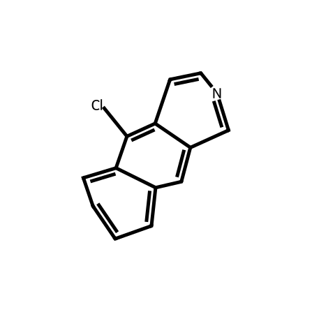 Clc1c2ccccc2cc2cnccc12